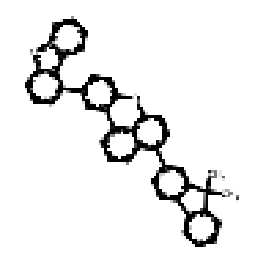 CC1(C)c2ccccc2-c2ccc(-c3ccc4c5c(cccc35)-c3cc(-c5cccc6oc7ccccc7c56)ccc3O4)cc21